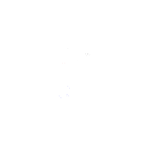 CCC(OCCc1c[nH]nn1)C(=O)OC